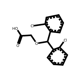 O=C(O)COC(c1ccccc1Cl)c1ccccc1Cl